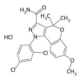 COc1ccc2c(c1)OC(C)(C)c1c(C(N)=O)nn(-c3ccc(Cl)cc3Cl)c1-2.Cl